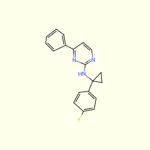 Fc1ccc(C2(Nc3nccc(-c4ccccc4)n3)CC2)cc1